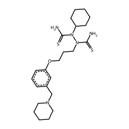 NC(=S)N(CCCOc1cccc(CN2CCCCC2)c1)N(C(N)=S)C1CCCCC1